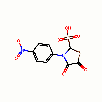 O=C1SC(S(=O)(=O)O)N(c2ccc([N+](=O)[O-])cc2)C1=O